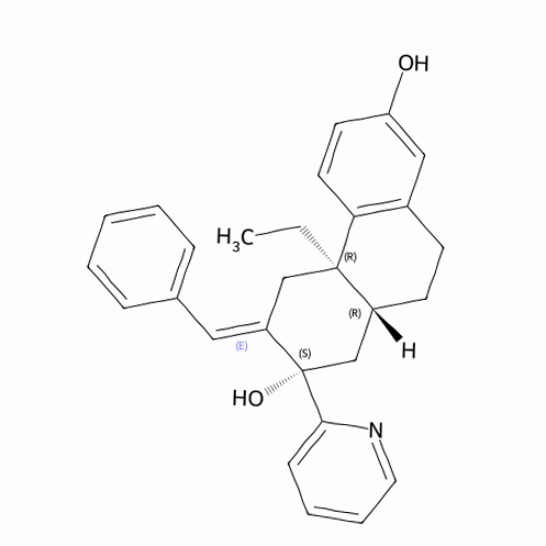 CC[C@@]12C/C(=C\c3ccccc3)[C@](O)(c3ccccn3)C[C@H]1CCc1cc(O)ccc12